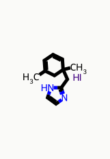 CC1=CC=CC(C)(Cc2ncc[nH]2)C1.I